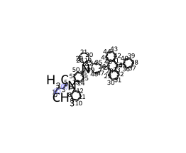 C/C=C\C=C(/C)N(c1ccccc1)c1ccc(N2C3=C(CCC=C3)C3CC(c4c5ccccc5c(-c5ccccc5)c5ccccc45)C=CC32)cc1